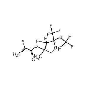 C=C(F)C(=O)OC1(C)COC(OC(F)(F)F)(C(F)(F)F)C1(F)F